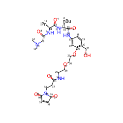 CCCC[C@H](NC(=O)[C@@H](NC(=O)CN(C)C)C(C)C)C(=O)Nc1ccc(CO)c(OCCOCCNC(=O)CCN2C(=O)C=CC2=O)c1